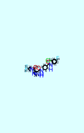 O=C(NC1CCC(C(=O)Nc2ccc(F)cc2Cl)CC1)c1[nH]cnc1C(=O)N1CC(F)(F)C1